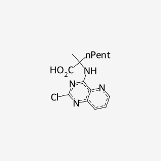 CCCCCC(C)(Nc1nc(Cl)nc2cccnc12)C(=O)O